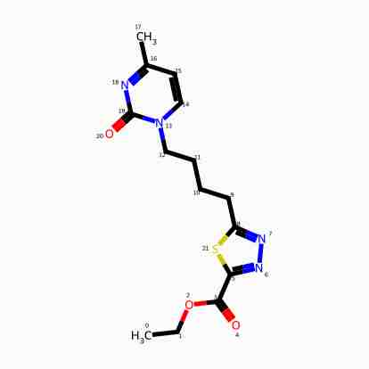 CCOC(=O)c1nnc(CCCCn2ccc(C)nc2=O)s1